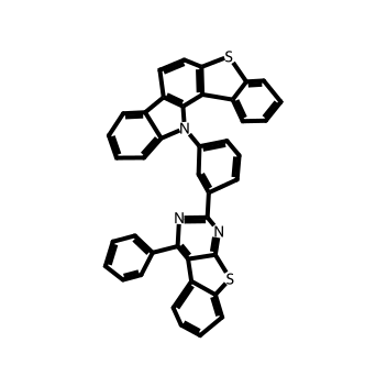 c1ccc(-c2nc(-c3cccc(-n4c5ccccc5c5ccc6sc7ccccc7c6c54)c3)nc3sc4ccccc4c23)cc1